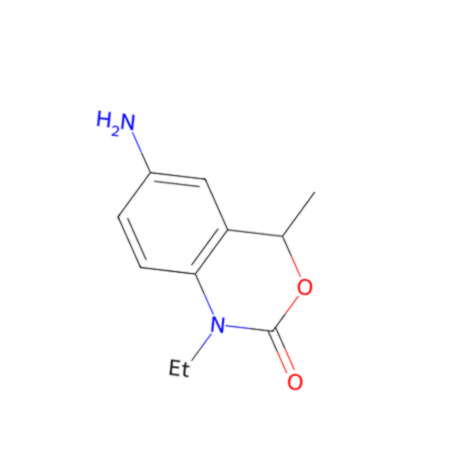 CCN1C(=O)OC(C)c2cc(N)ccc21